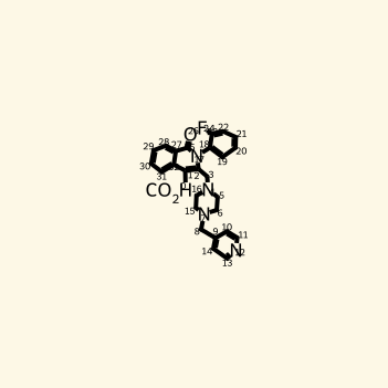 O=C(O)c1c(CN2CCN(Cc3ccncc3)CC2)n(-c2ccccc2F)c(=O)c2ccccc12